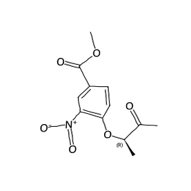 COC(=O)c1ccc(O[C@H](C)C(C)=O)c([N+](=O)[O-])c1